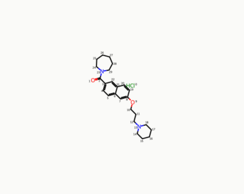 Cl.O=C(c1ccc2cc(OCCCN3CCCCC3)ccc2c1)N1CCCCCC1